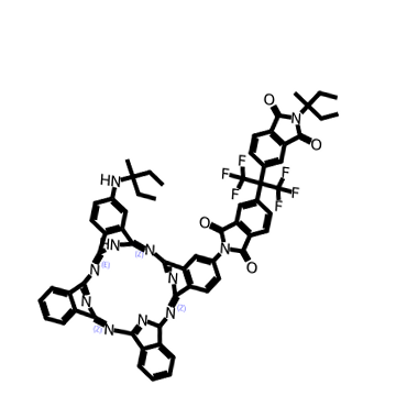 CCC(C)(CC)Nc1ccc2/c3[nH]/c(c2c1)=N\C1=NC(=N\C2N=C(/N=C4N=C(/N=3)c3ccccc3\4)c3ccccc32)/c2ccc(N3C(=O)c4ccc(C(c5ccc6c(c5)C(=O)N(C(C)(CC)CC)C6=O)(C(F)(F)F)C(F)(F)F)cc4C3=O)cc21